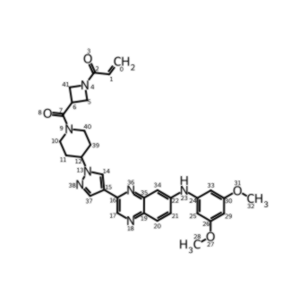 C=CC(=O)N1CC(C(=O)N2CCC(n3cc(-c4cnc5ccc(Nc6cc(OC)cc(OC)c6)cc5n4)cn3)CC2)C1